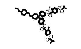 C=C(C)C(=O)Oc1ccc(C(=O)Oc2ccc(C3(c4ccc(OC(=O)c5ccc(OC(=O)C(=C)C)cc5F)cc4)CCC(CCC4CCC(CCC)CC4)CC3)cc2)c(F)c1